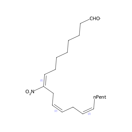 CCCCC/C=C\C/C=C\C/C(=C\CCCCCC[C]=O)[N+](=O)[O-]